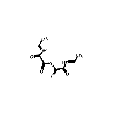 CC=[SH]C(=O)C(=O)SC(=O)C(=O)[SH]=CC